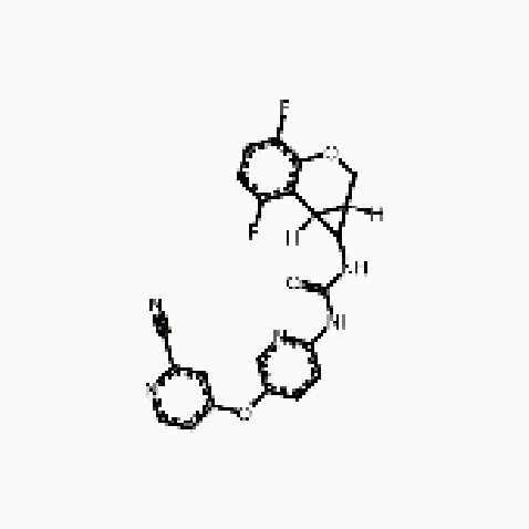 N#Cc1cc(Oc2ccc(NC(=O)NC3[C@H]4COc5c(F)ccc(F)c5[C@@H]34)nc2)ccn1